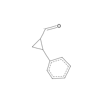 O=[C]C1CC1c1ccccc1